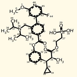 COc1cc(-c2ccc(C(=O)Oc3cccc([C@H](C4CC4)[C@H](C)C(=O)OCCP(=O)(O)O)c3)cc2CN(C(C)C)C(C)C)c(F)cn1